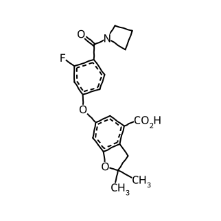 CC1(C)Cc2c(cc(Oc3ccc(C(=O)N4CCC4)c(F)c3)cc2C(=O)O)O1